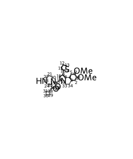 COc1cc2c(cc1OC)-c1c(-c3cccs3)cc(C(=O)N3CCCNCC3C(=O)C3CCC3)n1CC2